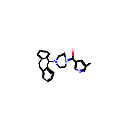 Cc1cncc(C(=O)N2CCN(C3c4ccccc4CCc4ccccc43)CC2)c1